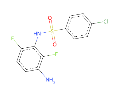 Nc1ccc(F)c(NS(=O)(=O)c2ccc(Cl)cc2)c1F